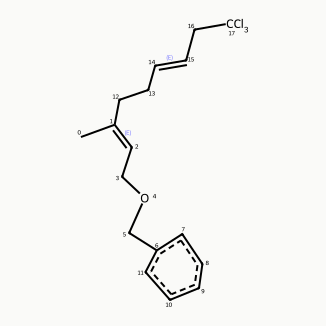 C/C(=C\COCc1ccccc1)CC/C=C/CC(Cl)(Cl)Cl